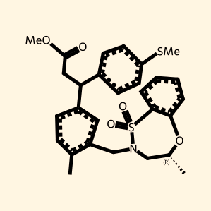 COC(=O)CC(c1ccc(SC)cc1)c1ccc(C)c(CN2C[C@@H](C)Oc3ccccc3S2(=O)=O)c1